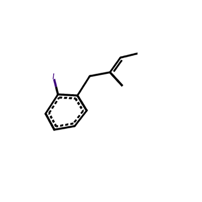 C/C=C(\C)Cc1ccccc1I